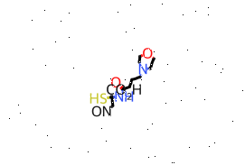 O=NCC(S)(NC(=O)CCCN1CCOCC1)C(=O)O